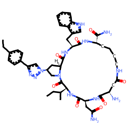 CCc1ccc(-c2cn([C@H]3C[C@H]4C(=O)N[C@@H](Cc5c[nH]c6ccccc56)C(=O)N[C@H](C(N)=O)CCCCNC(=O)C[C@H](N)C(=O)N[C@@H](CC(N)=O)C(=O)N[C@@H](C(C)CC)C(=O)N4C3)nn2)cc1